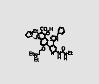 CCNC(=O)Nc1cc(-c2nc(-c3ccccc3)cs2)c(-c2cc3c(=O)c(C(=O)O)cn(C[C@@H]4CCCN4CC)c3cc2OCCN(CC)CC)cn1